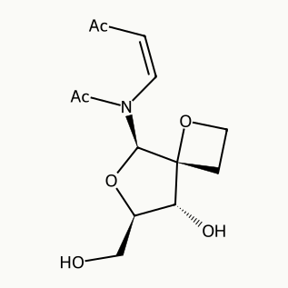 CC(=O)/C=C\N(C(C)=O)[C@@H]1O[C@H](CO)[C@@H](O)[C@]12CCO2